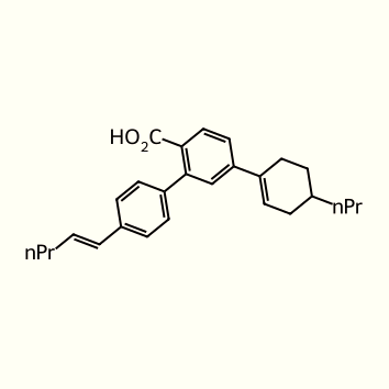 CCC/C=C/c1ccc(-c2cc(C3=CCC(CCC)CC3)ccc2C(=O)O)cc1